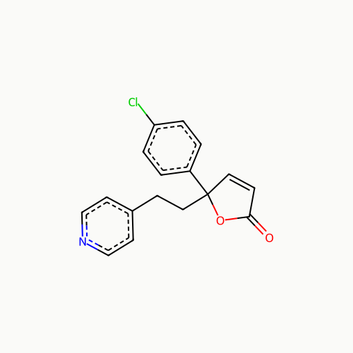 O=C1C=CC(CCc2ccncc2)(c2ccc(Cl)cc2)O1